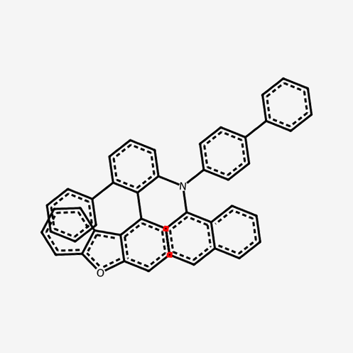 c1ccc(-c2ccc(N(c3cccc(-c4ccccc4)c3-c3cccc4oc5ccccc5c34)c3cccc4ccccc34)cc2)cc1